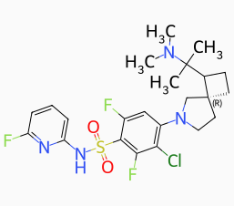 CN(C)C(C)(C)C1CC[C@@]12CCN(c1cc(F)c(S(=O)(=O)Nc3cccc(F)n3)c(F)c1Cl)C2